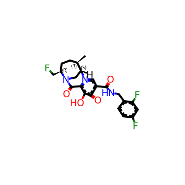 C[C@@H]1CC[C@H](CF)N2C[C@H]1n1cc(C(=O)NCc3ccc(F)cc3F)c(=O)c(O)c1C2=O